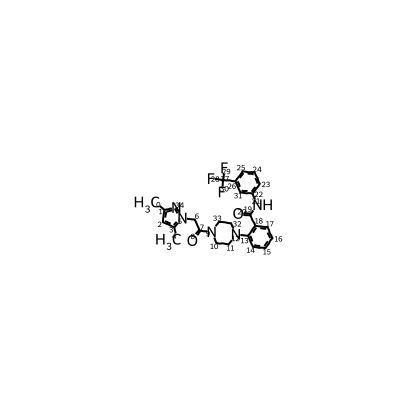 Cc1cc(C)n(CC(=O)N2CCN(c3ccccc3C(=O)Nc3cccc(C(F)(F)F)c3)CC2)n1